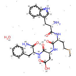 CSCC[C@H](NC(=O)[C@@H](N)Cc1c[nH]c2ccccc12)C(=O)N[C@@H](CC(=O)O)C(=O)N[C@@H](Cc1ccccc1)C(N)=O.O